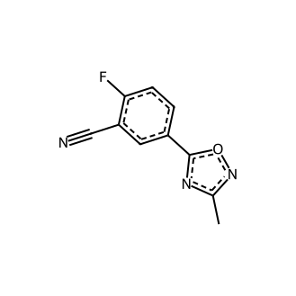 Cc1noc(-c2ccc(F)c(C#N)c2)n1